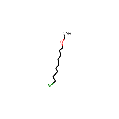 COCOCCCCCCCCCBr